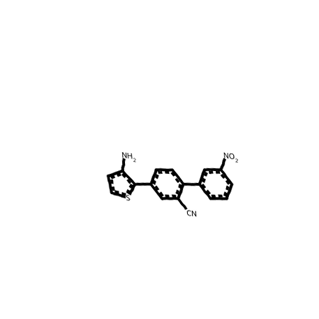 N#Cc1cc(-c2sccc2N)ccc1-c1cccc([N+](=O)[O-])c1